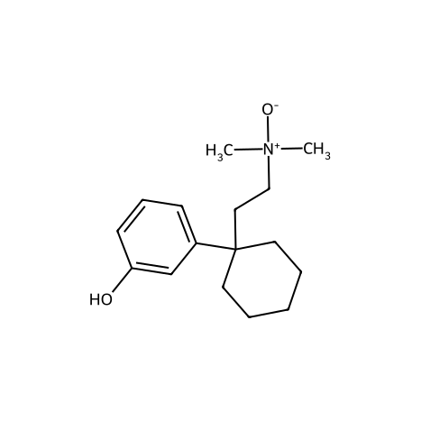 C[N+](C)([O-])CCC1(c2cccc(O)c2)CCCCC1